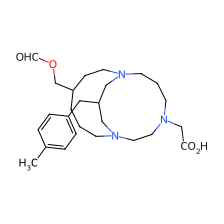 Cc1ccc(CC2CN3CCCN(CC(=O)O)CCN(CCCC(COC=O)CC3)C2)cc1